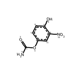 NC(=O)Oc1ccc(O)c([N+](=O)[O-])c1